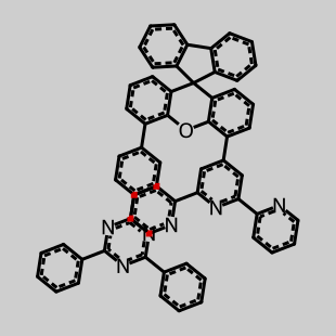 c1ccc(-c2nc(-c3ccccc3)nc(-c3ccc(-c4cccc5c4Oc4c(-c6cc(-c7ccccn7)nc(-c7ccccn7)c6)cccc4C54c5ccccc5-c5ccccc54)cc3)n2)cc1